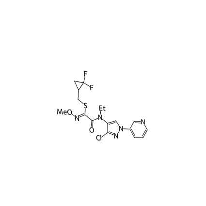 CCN(C(=O)C(=NOC)SCC1CC1(F)F)c1cn(-c2cccnc2)nc1Cl